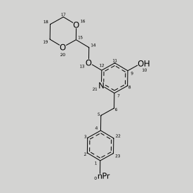 CCCc1ccc(CCc2cc(O)cc(OCC3OCCCO3)n2)cc1